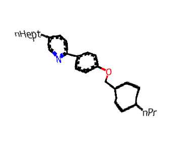 CCCCCCCc1ccc(-c2ccc(OCC3CCC(CCC)CC3)cc2)nc1